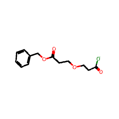 O=C(Cl)CCOCCC(=O)OCc1ccccc1